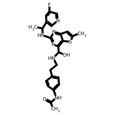 CC(=O)Nc1ccc(CCNC(O)c2nc(NC(C)c3cncc(F)c3)nc3cc(C)sc23)cc1